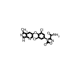 Cc1n[nH]c2ncc(Oc3c(Cl)cc(-n4c(C(N)=O)noc4=O)cc3Cl)cc12